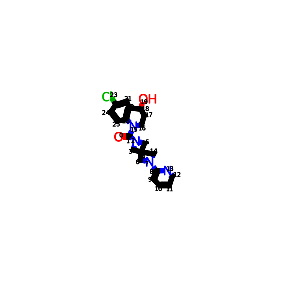 O=C(N1CC2(C1)CN(c1ccccn1)C2)N1CCC(O)c2cc(Cl)ccc21